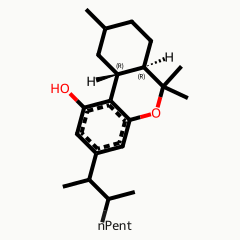 CCCCCC(C)C(C)c1cc(O)c2c(c1)OC(C)(C)[C@@H]1CCC(C)C[C@@H]21